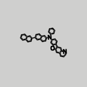 c1ccc(N(c2ccc3cc(-c4ccc5ccccc5c4)ccc3c2)c2ccc3c(c2)oc2cc4cccnc4cc23)cc1